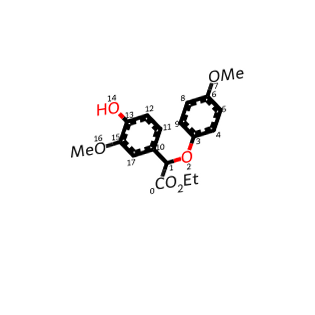 CCOC(=O)C(Oc1ccc(OC)cc1)c1ccc(O)c(OC)c1